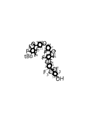 CC(C)(C)c1c(F)c(F)c(C(=O)c2ccc(Oc3ccc(C(=O)c4c(F)c(F)c(Oc5ccc(C(c6ccc(O)cc6)(C(F)(F)F)C(F)(F)F)cc5)c(F)c4F)cc3)cc2)c(F)c1F